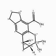 O=C(O)c1c2c(cc3c1O[B-](O)(O)[C@@H]1C[C@H]31)CCO2